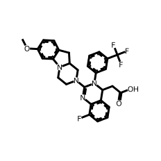 COc1ccc2c(c1)N1CCN(C3=Nc4c(F)cccc4C(CC(=O)O)N3c3cccc(C(F)(F)F)c3)CC1C2